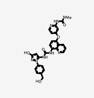 CNC(=O)Nc1cc(Oc2ccc(NC(=O)Nc3cc(O)nn3-c3ccc(CO)cc3)c3ncccc23)ccn1